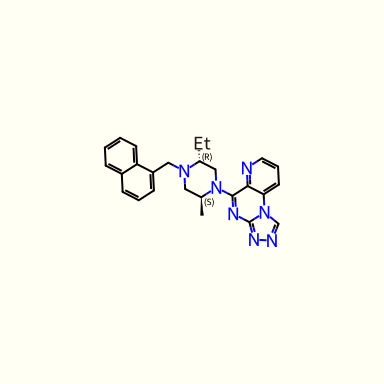 CC[C@@H]1CN(c2nc3nncn3c3cccnc23)[C@@H](C)CN1Cc1cccc2ccccc12